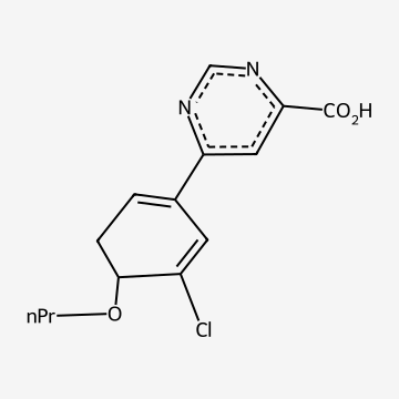 CCCOC1CC=C(c2cc(C(=O)O)ncn2)C=C1Cl